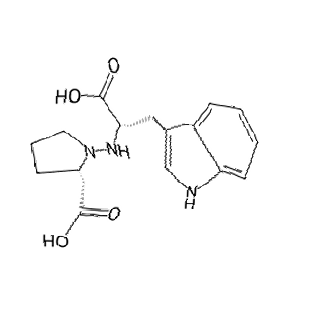 O=C(O)[C@H](Cc1c[nH]c2ccccc12)NN1CCC[C@H]1C(=O)O